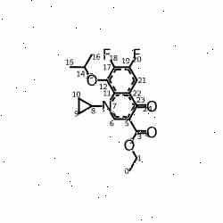 CCOC(=O)c1cn(C2CC2)c2c(OC(C)C)c(F)c(F)cc2c1=O